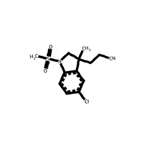 CC1(CCC#N)CN(S(C)(=O)=O)c2ccc(Cl)cc21